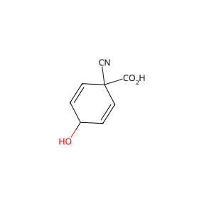 N#CC1(C(=O)O)C=CC(O)C=C1